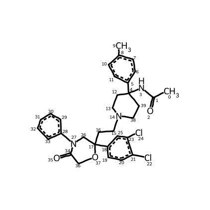 CC(=O)NC1(c2ccc(C)cc2)CCN(CCC2(c3ccc(Cl)c(Cl)c3)CN(c3ccccc3)C(=O)CO2)CC1